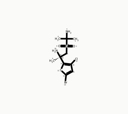 CC(C)(N)S(=O)(=O)C[C@](C)(N)c1sc(Br)cc1Cl